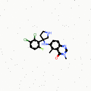 Cc1c(NC2(c3c(F)ccc(Cl)c3Cl)CCNC2)ccc2ncn(C)c(=O)c12